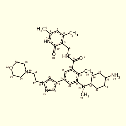 Cc1cc(C)c(CNC(=O)c2cc(-c3cnn(CCN4CCOCC4)c3)cc(N(C)C3CCC(N)CC3)c2C)c(=O)[nH]1